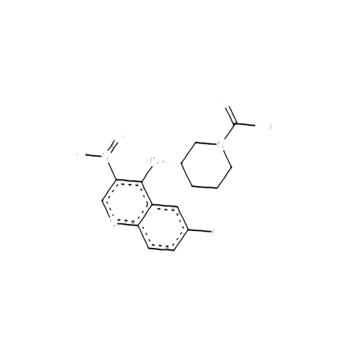 O=C(O)N1CCC[C@H](Nc2c([N+](=O)[O-])cnc3ccc(I)cc23)C1